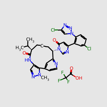 CC(C)[C@H]1CCC[C@H](n2cnc(-c3cc(Cl)ccc3-n3cc(Cl)nn3)cc2=O)c2cc(ccn2)-c2c(cnn2C)NC1=O.O=C(O)C(F)(F)F